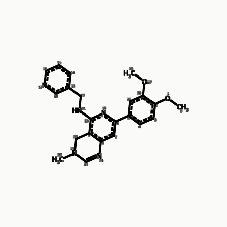 COc1ccc(-c2cc3c(c(NCc4cccnc4)n2)CN(C)C=N3)cc1OC